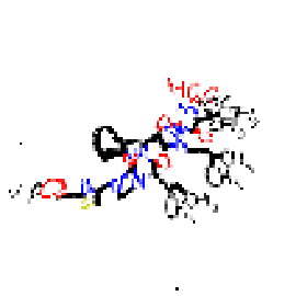 CC[C@H](C)[C@@H](C(=O)N[C@@H](Cc1ccccc1)[C@@H](O)CN(CCC(C)C)NC(=O)[C@@H](NC(=O)O)C(C)(C)C)N1CCN(Cc2csc(COC)n2)C1=O